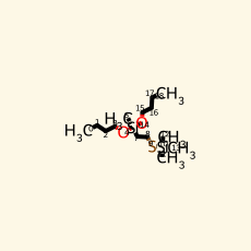 CCCCO[Si](C)(CCS[Si](C)(C)C)OCCCC